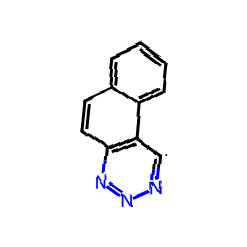 [c]1nnnc2ccc3ccccc3c12